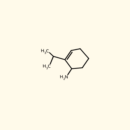 CC(C)C1=CCCCC1N